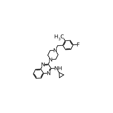 Cc1cc(F)ccc1CN1CCN(c2nc3ccccc3nc2NC2CC2)CC1